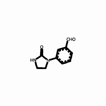 O=Cc1cccc(N2CCNC2=O)c1